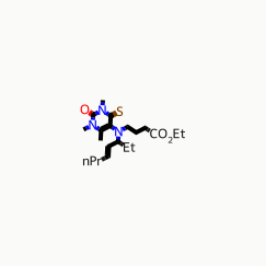 CCC/C=C/C(CC)N(CCCC(=O)OCC)c1c(C)n(C)c(=O)n(C)c1=S